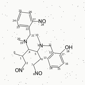 CC(CN=O)C(C(CCN=O)N(C)Cc1ccccc1O)N(C)Cc1ccccc1N=O